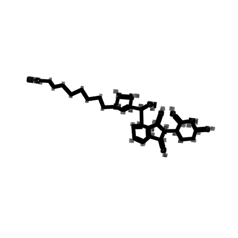 O=CCCCCCCCCn1cc(C(O)c2cccc3c2C(=O)N(C2CCC(=O)NC2=O)C3=O)nn1